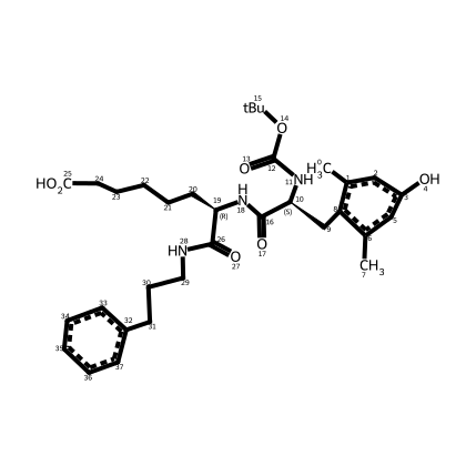 Cc1cc(O)cc(C)c1C[C@H](NC(=O)OC(C)(C)C)C(=O)N[C@H](CCCCCC(=O)O)C(=O)NCCCc1ccccc1